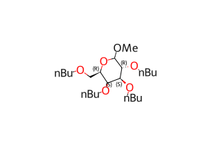 CCCCOC[C@H]1OC(OC)[C@H](OCCCC)[C@@H](OCCCC)[C@H]1OCCCC